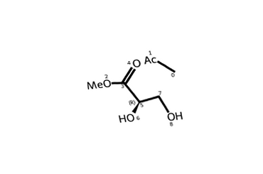 CC(C)=O.COC(=O)[C@H](O)CO